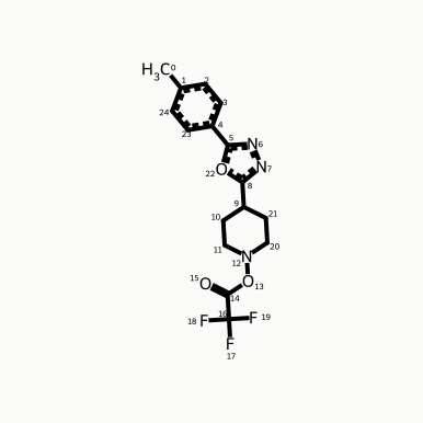 Cc1ccc(-c2nnc(C3CCN(OC(=O)C(F)(F)F)CC3)o2)cc1